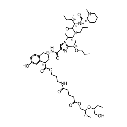 CCCO[C@H](C[C@H](C(C)C)N(CCC)C(=O)[C@@H](NC(=O)[C@H]1CCCCN1C)[C@@H](C)CC)c1nc(C(=O)N[C@H]2Cc3ccc(O)cc3[C@H](C(=O)OCCCNC(=O)CCCC(=O)OCC(OC)OC(CC)CO)C2)cs1